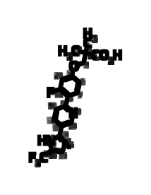 CC(C)(COc1ccc(-c2ccc(-c3ncc(C(F)(F)F)[nH]3)cn2)c(F)c1)C(=O)O